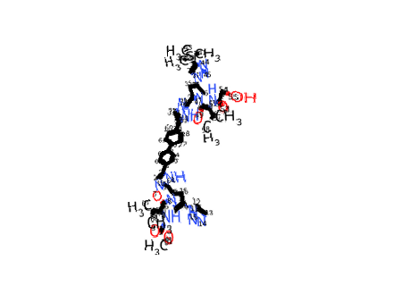 COC(=O)N[C@H](C(=O)N1C[C@H](n2ccnn2)CC1c1ncc(-c2ccc(-c3ccc(-c4cnc(C5C[C@@H](n6cc([Si](C)(C)C)nn6)CN5C(=O)C(NC(=O)CO)C(C)C)[nH]4)cc3)cc2)[nH]1)C(C)C